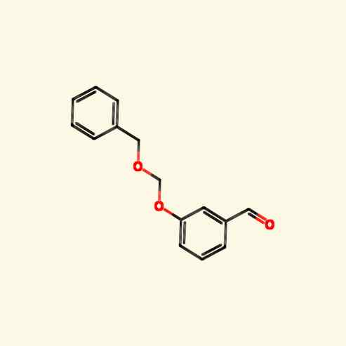 O=Cc1cccc(OCOCc2ccccc2)c1